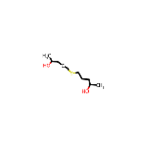 CC(O)CCCSCCCC(C)O